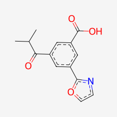 CC(C)C(=O)c1cc(C(=O)O)cc(-c2ncco2)c1